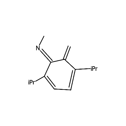 C=C1C(C(C)C)=CC=C(C(C)C)/C1=N/C